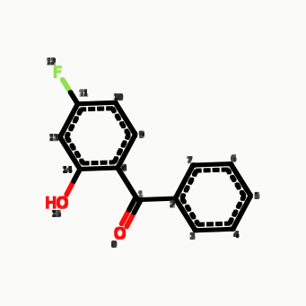 O=C(c1ccccc1)c1ccc(F)cc1O